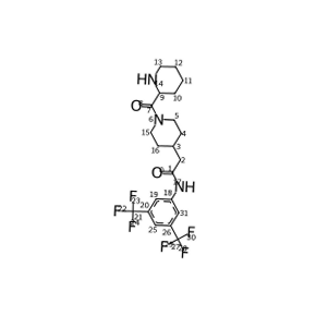 O=C(CC1CCN(C(=O)C2CCCCN2)CC1)Nc1cc(C(F)(F)F)cc(C(F)(F)F)c1